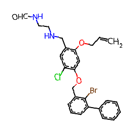 C=CCOc1cc(OCc2cccc(-c3ccccc3)c2Br)c(Cl)cc1CNCCNC=O